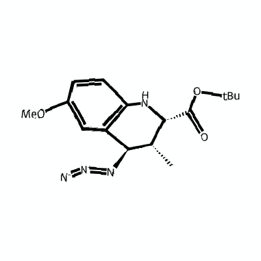 COc1ccc2c(c1)[C@H](N=[N+]=[N-])[C@@H](C)[C@@H](C(=O)OC(C)(C)C)N2